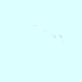 CN(N=C(CC(=O)CC(=O)c1ccccc1)c1ccccc1)[Si](C)(C)C